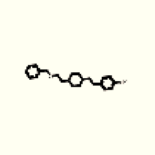 CCCc1ccc(CCC2CCC(CCOCc3ccccc3)CC2)cc1